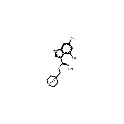 Cc1cc(C)c2c(C(=O)OCC34CCN(CC3)CC4)c[nH]c2c1.Cl